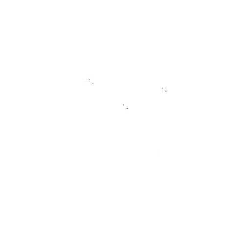 CN(C)c1ccccc1N1CCNCC1